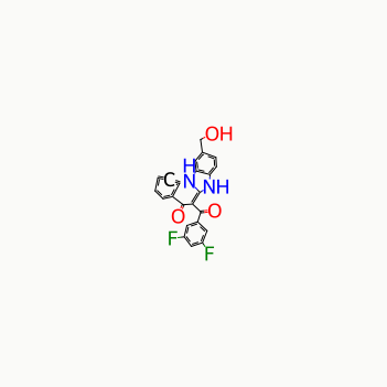 O=C(C(C(=O)c1cc(F)cc(F)c1)=C1Nc2ccc(CO)cc2N1)c1ccccc1